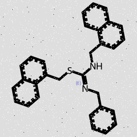 c1ccc(C/N=C(\NCc2cccc3ccccc23)SCc2cccc3ccccc23)cc1